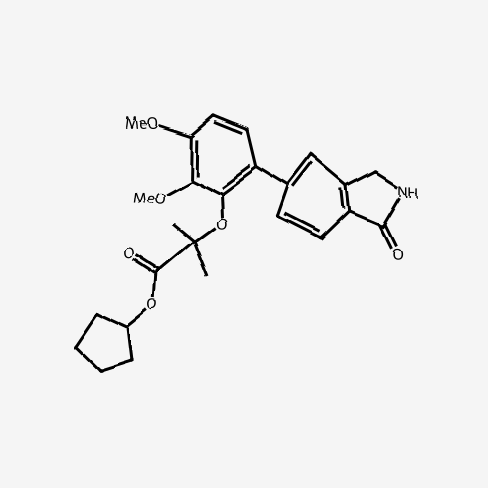 COc1ccc(-c2ccc3c(c2)CNC3=O)c(OC(C)(C)C(=O)OC2CCCC2)c1OC